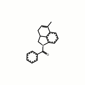 CC1=CCC2CN(C(=O)c3ccccc3)c3cccc1c32